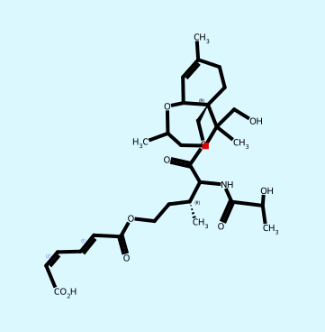 CC1=CC2OC(C)CCC(C)(CO)[C@@]2(COC(=O)C(NC(=O)C(C)O)[C@H](C)CCOC(=O)/C=C/C=C\C(=O)O)CC1